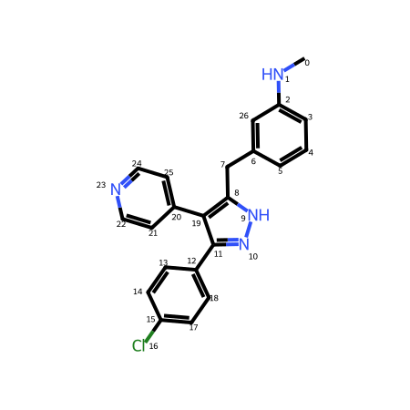 CNc1cccc(Cc2[nH]nc(-c3ccc(Cl)cc3)c2-c2ccncc2)c1